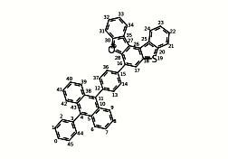 c1ccc(-c2c3ccccc3c(-c3ccc(-c4cc5sc6ccccc6c5c5c4oc4ccccc45)cc3)c3ccccc23)cc1